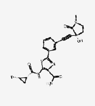 CN1CC[C@@](O)(C#Cc2cccc(-c3nc(C(N)=O)c(NC(=O)[C@@H]4C[C@@H]4F)s3)c2)C1=O